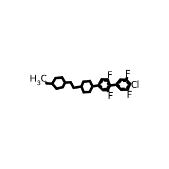 CCC1CCC(CCC2CCC(c3cc(F)c(-c4cc(F)c(Cl)c(F)c4)c(F)c3)CC2)CC1